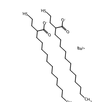 CCCCCCCCCCCCC(CCS)C(=O)[O-].CCCCCCCCCCCCC(CCS)C(=O)[O-].[Ba+2]